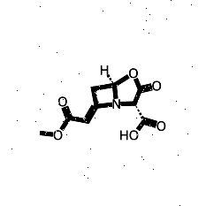 COC(=O)/C=C1\C[C@H]2OC(=O)[C@H](C(=O)O)N12